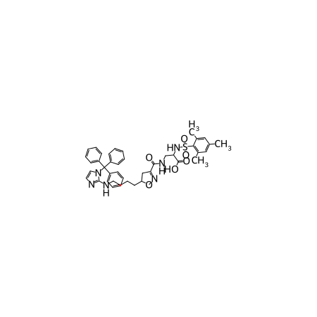 Cc1cc(C)c(S(=O)(=O)NC(CNC(=O)C2=NOC(CCCCNc3nccn3C(c3ccccc3)(c3ccccc3)c3ccccc3)C2)C(=O)O)c(C)c1